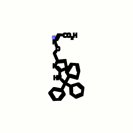 O=C(O)/C=N\OCc1csc(NC(c2ccccc2)(c2ccccc2)c2ccccc2)n1